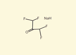 O=C(C(F)F)C(F)F.[NaH]